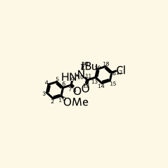 COc1ccccc1C(=O)NN(C(=O)c1ccc(Cl)cc1)C(C)(C)C